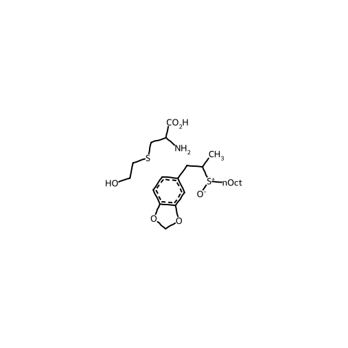 CCCCCCCC[S+]([O-])C(C)Cc1ccc2c(c1)OCO2.NC(CSCCO)C(=O)O